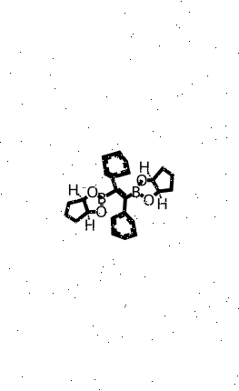 c1ccc(C(B2O[C@H]3CCC[C@H]3O2)=C(B2O[C@H]3CCC[C@H]3O2)c2ccccc2)cc1